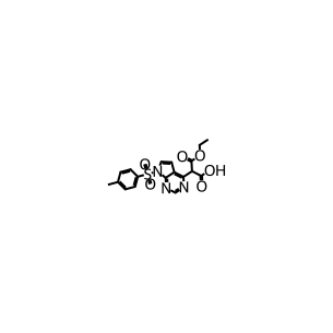 CCOC(=O)C(C(=O)O)c1ncnc2c1ccn2S(=O)(=O)c1ccc(C)cc1